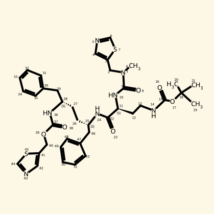 CN(Cc1cncs1)C(=O)N[C@@H](CCNC(=O)OC(C)(C)C)C(=O)N[C@@H](CC[C@@H](Cc1ccccc1)NC(=O)OCc1cncs1)Cc1ccccc1